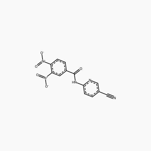 N#Cc1ccc(NC(=O)c2ccc([N+](=O)[O-])c([N+](=O)[O-])c2)nc1